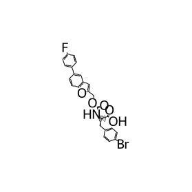 O=C(N[C@H](Cc1ccc(Br)cc1)C(=O)O)OCc1cc2cc(-c3ccc(F)cc3)ccc2o1